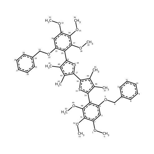 COc1cc(OCc2ccccc2)c(-c2sc(-c3sc(-c4c(OCc5ccccc5)cc(OC)c(OC)c4OC)c(C)c3C)c(C)c2C)c(OC)c1OC